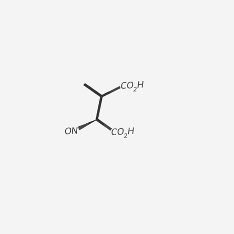 CC(C(=O)O)[C@H](N=O)C(=O)O